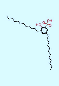 CCCCCCCCCCCCc1cc(CCCCCCCCCCCC)c(O)c(S(=O)(=O)O)c1